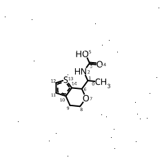 CC(NC(=O)O)C1OCCc2ccsc21